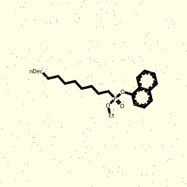 CCCCCCCCCCCCCCCCCCP(=O)(OCC)Oc1cccc2ccccc12